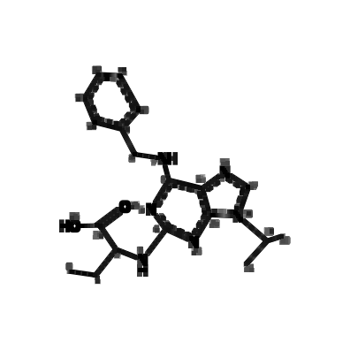 CCC(Nc1nc(NCc2ccccc2)c2ncn(C(C)C)c2n1)C(=O)O